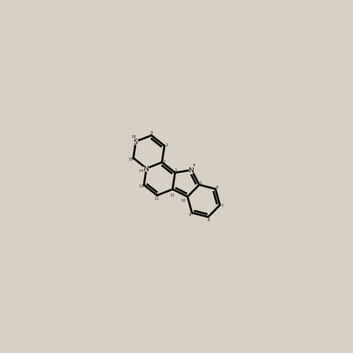 C1=Cc2c3nc4ccccc4c-3ccn2CS1